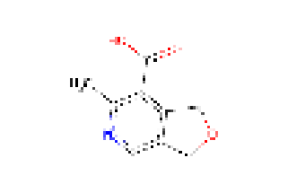 Cc1ncc2c(c1C(=O)O)COC2